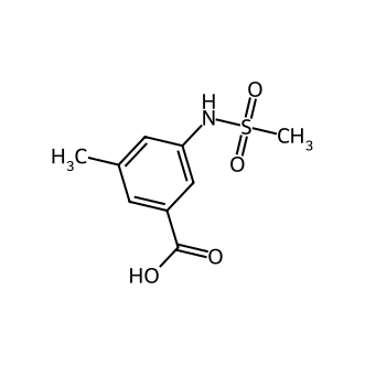 Cc1cc(NS(C)(=O)=O)cc(C(=O)O)c1